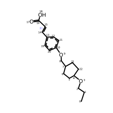 CCCOC1CCC(COc2ccc(/C=C/C(=O)O)cc2)CC1